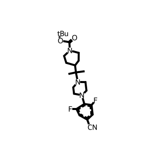 CC(C)(C)OC(=O)N1CCC(C(C)(C)N2CCN(c3c(F)cc(C#N)cc3F)CC2)CC1